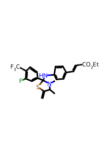 C=C1SC(Nc2ccc(/C=C/C(=O)OCC)cc2)(c2ccc(C(F)(F)F)c(F)c2)N(C)C1C